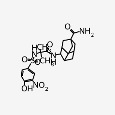 CC(C)(NS(=O)(=O)c1ccc(O)c([N+](=O)[O-])c1)C(=O)NC1C2CC3CC1CC(C(N)=O)(C3)C2